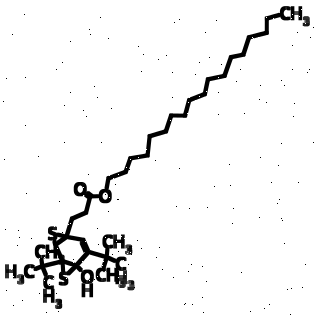 CCCCCCCCCCCCCCCCCCOC(=O)CCC12C=C(C(C)(C)C)C3(O)SC3(C(C)(C)C)C1S2